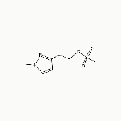 Cn1ccc(CCOS(C)(=O)=O)n1